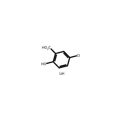 O=C(O)c1cc(Cl)ccc1O.[LiH]